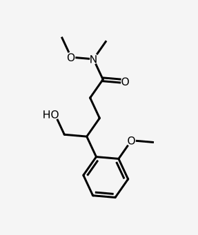 COc1ccccc1C(CO)CCC(=O)N(C)OC